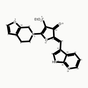 CCOC(=O)C1=C(N2CCc3ccoc3C2)OC(=Cc2c[nH]c3ncccc23)C1=O